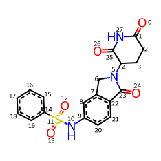 O=C1CCC(N2Cc3cc(NS(=O)(=O)c4ccccc4)ccc3C2=O)C(=O)N1